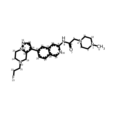 CN1CCN(CC(=O)Nc2cc3cc(-c4cnn5c4CN(CCF)CC5)ccc3cn2)CC1